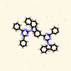 c1ccc(-c2nc(-c3ccc4c(c3)c3ccc5ccccc5c3n4-c3nc(-c4ccccc4)nc(-c4ccccc4)n3)nc(-n3c4ccccc4c4ccccc43)n2)cc1